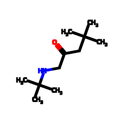 CC(C)(C)CC(=O)CNC(C)(C)C